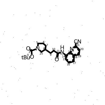 CC(C)(C)OC(=O)N1CCCC(CCC(=O)Nc2cccc3ccc(C#N)nc23)C1